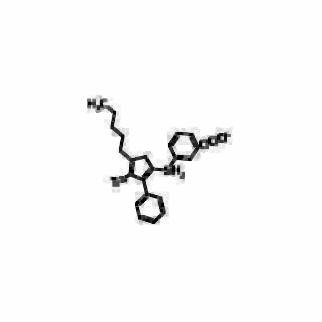 CCCCCC1=[C]([Ti+3])C(c2ccccc2)=C([SiH2]c2ccccc2)C1.[Cl-].[Cl-].[Cl-]